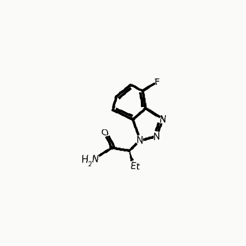 CC[C@@H](C(N)=O)n1nnc2c(F)cccc21